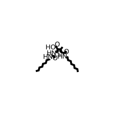 CCCCCCCCNC(=O)Nc1sc(C(=O)NCCCCCCCC)c(C)c1C(=O)O